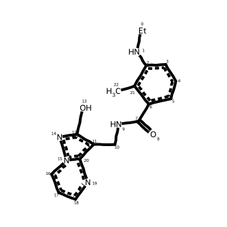 CCNc1cccc(C(=O)NCc2c(O)nn3cccnc23)c1C